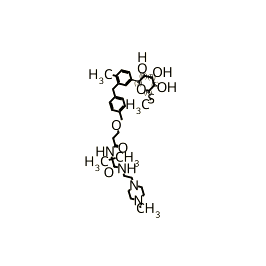 CS[C@H]1O[C@@H](c2ccc(C)c(Cc3ccc(COCCC(=O)NC(C)(C)C(=O)NCCN4CCN(C)CC4)cc3)c2)[C@H](O)[C@@H](O)[C@@H]1O